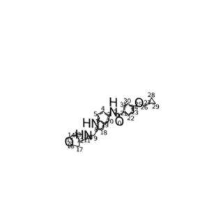 O=C(Nc1ccc2[nH]c(CNCC3CCOCC3)cc2c1)c1ccc(OCC2CC2)cc1